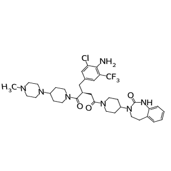 CN1CCN(C2CCN(C(=O)[C@H](CC(=O)N3CCC(N4CCc5ccccc5NC4=O)CC3)Cc3cc(Cl)c(N)c(C(F)(F)F)c3)CC2)CC1